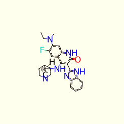 CCN(C)c1cc2[nH]c(=O)c(-c3nc4ccccc4[nH]3)c(N[C@H]3CN4CCC3CC4)c2cc1F